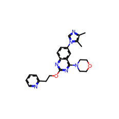 Cc1ncn(-c2ccc3nc(OCCc4ccccn4)nc(N4CCOCC4)c3c2)c1C